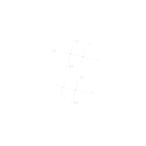 CC(C)(O)C(C)(C)O.CC(C)(O)C(C)(C)O